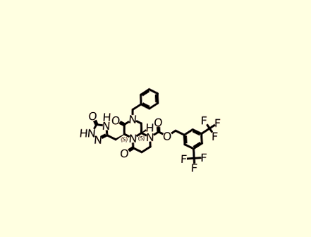 O=C1[C@H](Cc2n[nH]c(=O)[nH]2)N2C(=O)CCN(C(=O)OCc3cc(C(F)(F)F)cc(C(F)(F)F)c3)[C@H]2CN1Cc1ccccc1